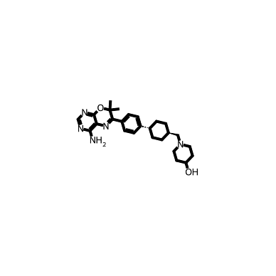 CC1(C)Oc2ncnc(N)c2N=C1c1ccc([C@H]2CC[C@H](CN3CCC(O)CC3)CC2)cc1